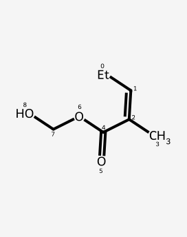 CCC=C(C)C(=O)OCO